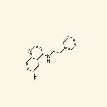 Fc1ccc2nccc(NCCc3ccccc3)c2c1